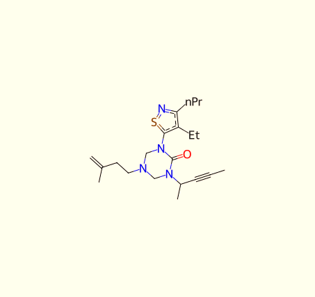 C=C(C)CCN1CN(c2snc(CCC)c2CC)C(=O)N(C(C)C#CC)C1